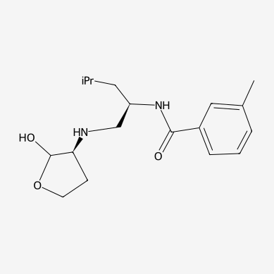 Cc1cccc(C(=O)N[C@@H](CN[C@H]2CCOC2O)CC(C)C)c1